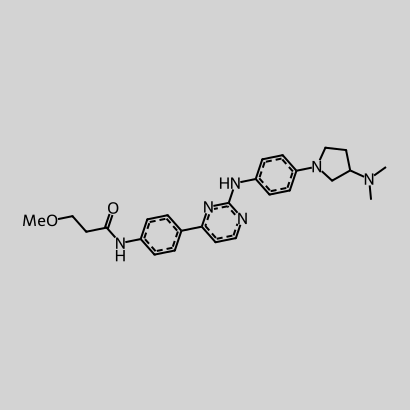 COCCC(=O)Nc1ccc(-c2ccnc(Nc3ccc(N4CCC(N(C)C)C4)cc3)n2)cc1